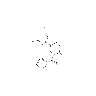 CCCN(CCC)C1CCC(C)C(C(=O)c2ccccc2)C1